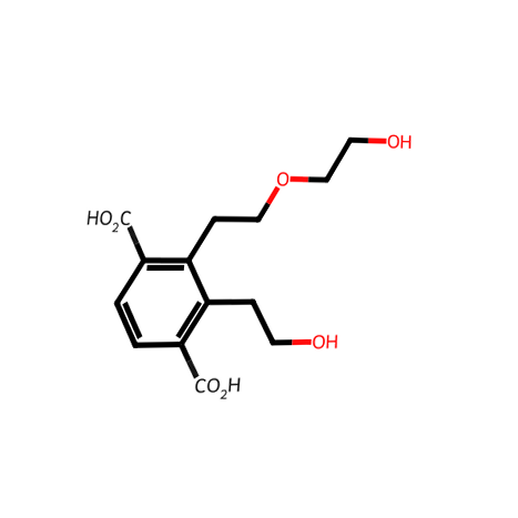 O=C(O)c1ccc(C(=O)O)c(CCOCCO)c1CCO